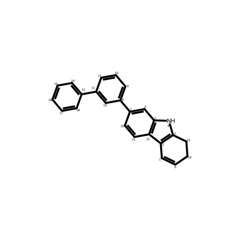 C1=Cc2c([nH]c3cc(-c4cccc(-c5ccccc5)c4)ccc23)CC1